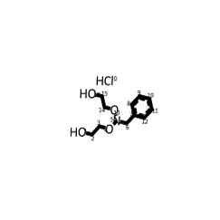 Cl.OCCON(Cc1ccccc1)OCCO